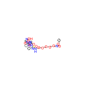 C[C@@H](C(=O)N[C@H](C(=O)N1CCC[C@H]1C(=O)Nc1sc(NC(=O)COCCOCCOCCOCCOCCN(C)C(=O)OCc2ccccc2)nc1-c1ccccc1)C1CCCCC1)N(C)C(=O)O